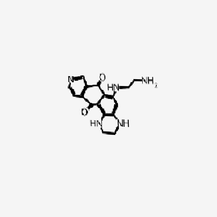 NCCNc1cc2c(c3c1C(=O)c1cnccc1C3=O)NCCN2